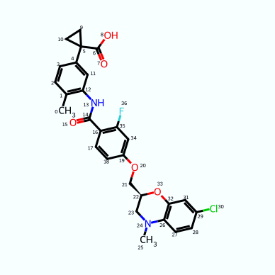 Cc1ccc(C2(C(=O)O)CC2)cc1NC(=O)c1ccc(OC[C@@H]2CN(C)c3ccc(Cl)cc3O2)cc1F